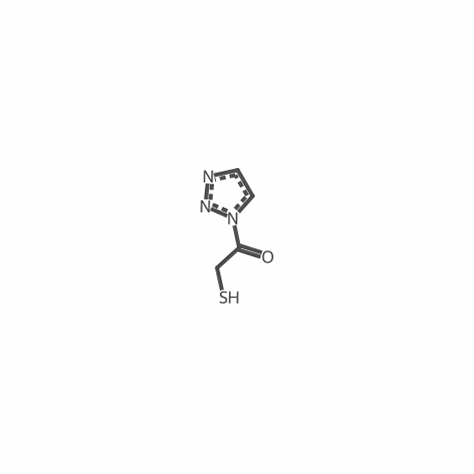 O=C(CS)n1ccnn1